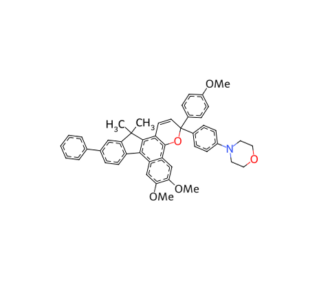 COc1ccc(C2(c3ccc(N4CCOCC4)cc3)C=Cc3c4c(c5cc(OC)c(OC)cc5c3O2)-c2ccc(-c3ccccc3)cc2C4(C)C)cc1